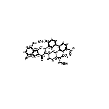 COc1ccc(-c2ccc([S+](C)[O-])cc2)cc1CN(C(=O)c1sc2c(F)ccc(F)c2c1Cl)C1CCC(N(CC(C)(C)C)C(=O)O)CC1